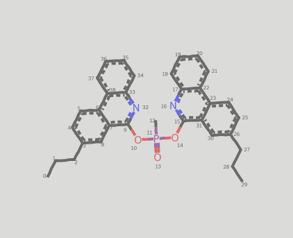 CCCc1ccc2c(c1)c(OP(C)(=O)Oc1nc3ccccc3c3ccc(CCC)cc13)nc1ccccc12